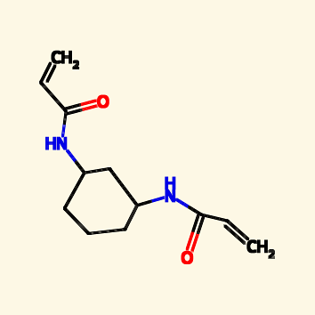 C=CC(=O)NC1CCCC(NC(=O)C=C)C1